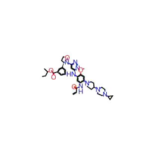 C=CC(=O)Nc1cc(Nc2cc(N3OCC[C@@H]3c3cccc(C(=O)OC(C)CC)c3)ncn2)c(OC)cc1N1CCC(N2CCN(C3CC3)CC2)CC1